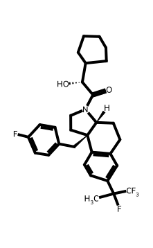 CC(F)(c1ccc2c(c1)CC[C@H]1N(C(=O)[C@H](O)C3CCCCC3)CC[C@@]21Cc1ccc(F)cc1)C(F)(F)F